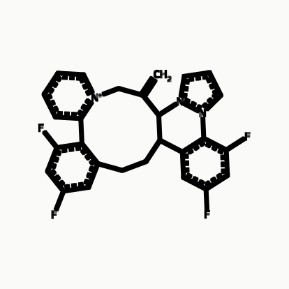 C=C1C[n+]2ccccc2-c2c(F)cc(F)cc2CCC2c3cc(F)cc(F)c3-n3ccc[n+]3C12